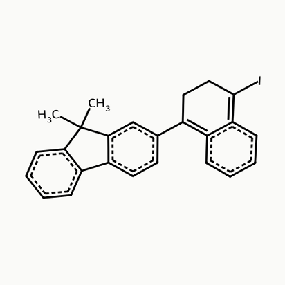 CC1(C)c2ccccc2-c2ccc(C3=c4ccccc4=C(I)CC3)cc21